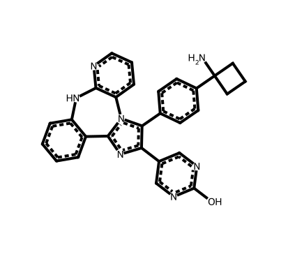 NC1(c2ccc(-c3c(-c4cnc(O)nc4)nc4n3-c3cccnc3Nc3ccccc3-4)cc2)CCC1